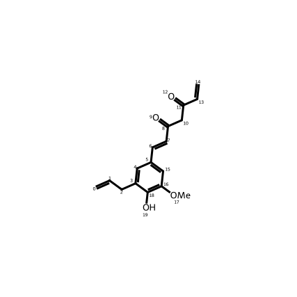 C=CCc1cc(C=CC(=O)CC(=O)C=C)cc(OC)c1O